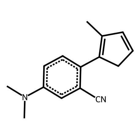 CC1=C(c2ccc(N(C)C)cc2C#N)CC=C1